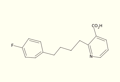 O=C(O)c1cccnc1CCCCc1ccc(F)cc1